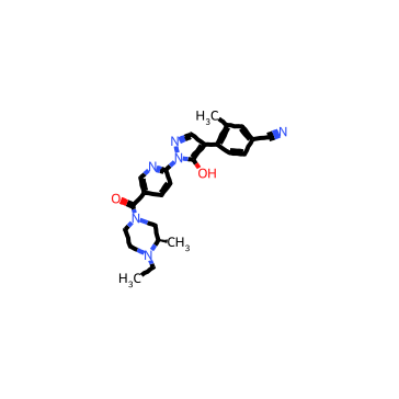 CCN1CCN(C(=O)c2ccc(-n3ncc(-c4ccc(C#N)cc4C)c3O)nc2)C[C@H]1C